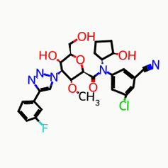 CO[C@@H]1[C@@H](n2cc(-c3cccc(F)c3)nn2)[C@@H](O)[C@@H](CO)O[C@H]1C(=O)N(c1cc(Cl)cc(C#N)c1)[C@@H]1CCC[C@H]1O